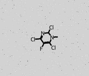 CN1C(Cl)=C(F)C(Cl)=NC1Cl